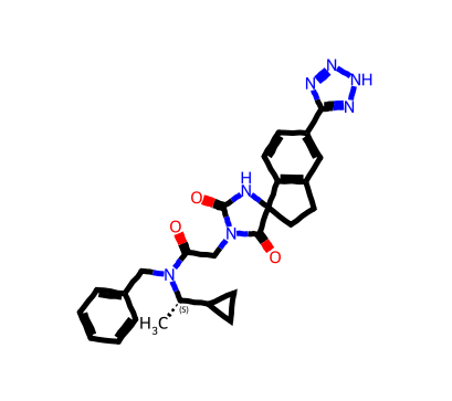 C[C@@H](C1CC1)N(Cc1ccccc1)C(=O)CN1C(=O)NC2(CCc3cc(-c4nn[nH]n4)ccc32)C1=O